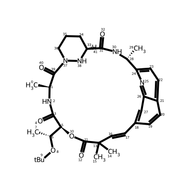 C[C@@H]1NC(=O)[C@H]([C@@H](C)OC(C)(C)C)OC(=O)C(C)(C)/C=C/c2ccc3ccc(nc3c2)[C@@H](C)NC(=O)[C@@H]2CCCN(N2)C1=O